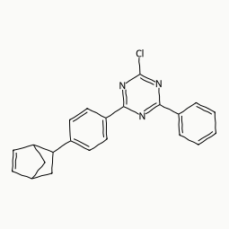 Clc1nc(-c2ccccc2)nc(-c2ccc(C3CC4C=CC3C4)cc2)n1